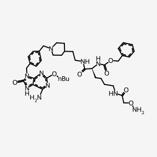 CCCCOc1nc(N)c2[nH]c(=O)n(Cc3ccc(CN4CCC(CCNC(=O)[C@H](CCCCNC(=O)CON)NC(=O)OCc5ccccc5)CC4)cc3)c2n1